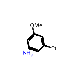 CCc1cccc(OC)c1.N